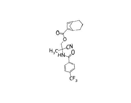 CC(C#N)(COC(=O)C1=C2CCCC(=C1)C2)NC(=O)c1ccc(C(F)(F)F)cc1